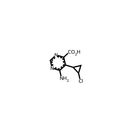 Nc1ncnc(C(=O)O)c1C1CC1Cl